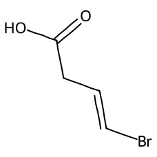 O=C(O)C/C=C/Br